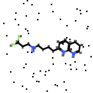 FC(F)CCNCCCCc1ccc2c(n1)N=CCC2